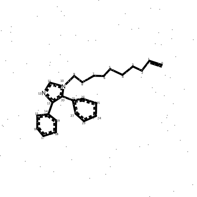 C=CCCCCCCCCn1cnc(-c2ccccc2)c1-c1ccccc1